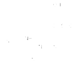 O=S(=O)(CCO)CCNc1nc(C2=CC=NC=CN2)nc2ccccc12